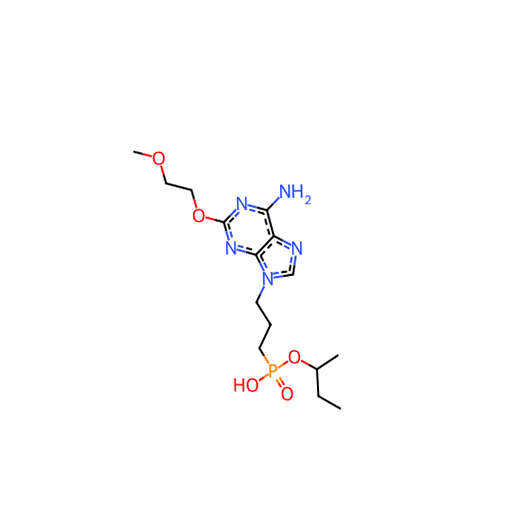 CCC(C)OP(=O)(O)CCCn1cnc2c(N)nc(OCCOC)nc21